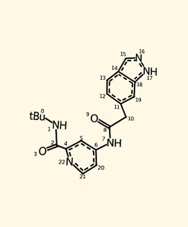 CC(C)(C)NC(=O)c1cc(NC(=O)Cc2ccc3cn[nH]c3c2)ccn1